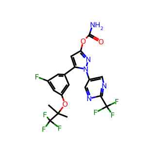 CC(C)(Oc1cc(F)cc(-c2cc(OC(N)=O)nn2-c2cnc(C(F)(F)F)nc2)c1)C(F)(F)F